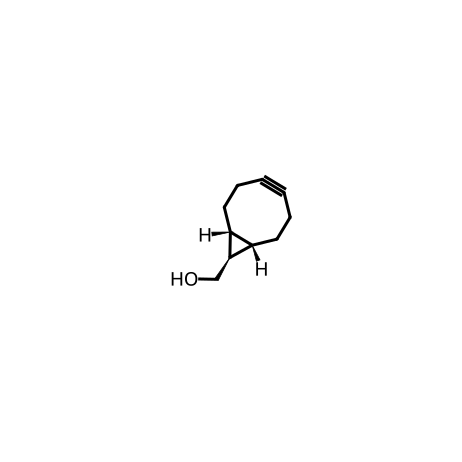 OC[C@@H]1[C@H]2CCC#CCC[C@@H]12